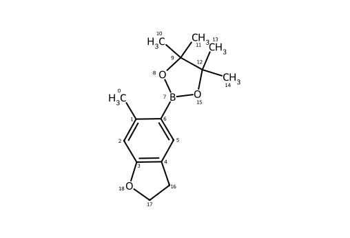 Cc1cc2c(cc1B1OC(C)(C)C(C)(C)O1)CCO2